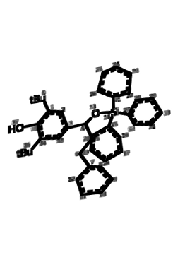 CC(C)(C)c1cc(C(CCc2ccccc2)O[Si](c2ccccc2)(c2ccccc2)c2ccccc2)cc(C(C)(C)C)c1O